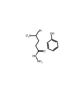 CC(C)C(CCC(=O)NN)[N+](=O)[O-].Oc1ccccc1